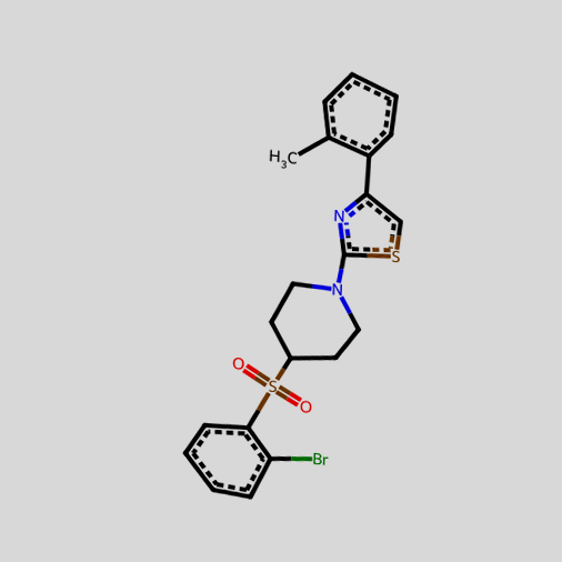 Cc1ccccc1-c1csc(N2CCC(S(=O)(=O)c3ccccc3Br)CC2)n1